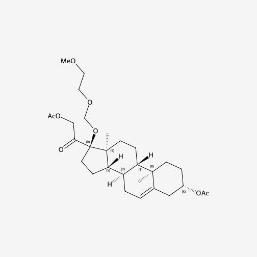 COCCOCO[C@]1(C(=O)COC(C)=O)CC[C@H]2[C@@H]3CC=C4C[C@@H](OC(C)=O)CC[C@]4(C)[C@H]3CC[C@@]21C